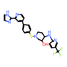 OC1CN(Sc2ccc(-c3ccnc(-c4ncc[nH]4)c3)cc2)CCC1Nc1ccc(C(F)(F)F)cn1